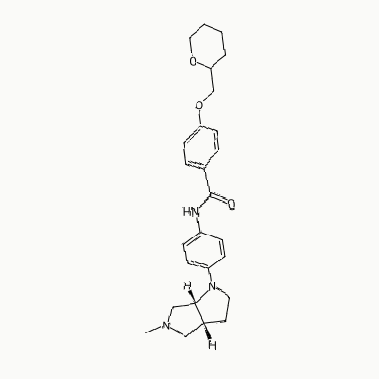 CN1C[C@H]2CCN(c3ccc(NC(=O)c4ccc(OCC5CCCCO5)cc4)cc3)[C@H]2C1